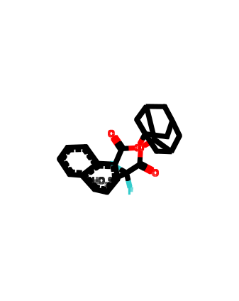 O=C(OC12CC3CC(C1)C(OC(=O)C(F)(F)S(=O)(=O)O)C(C3)C2)c1cccc2ccccc12